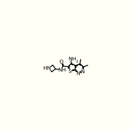 Cc1nnc2sc(C(=O)NC3CNC3)c(N)c2c1C